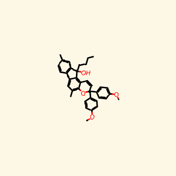 CCCCC1(O)c2cc(C)ccc2-c2cc(C)c3c(c21)C=CC(c1ccc(OC)cc1)(c1ccc(OC)cc1)O3